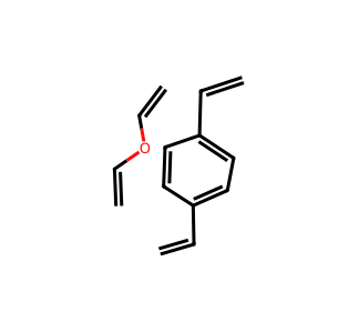 C=COC=C.C=Cc1ccc(C=C)cc1